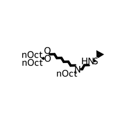 CCCCCCCCC(CCCCCCCC)OC(=O)CCCCCCCN(CCCCCCCC)CCCNSC1CC1